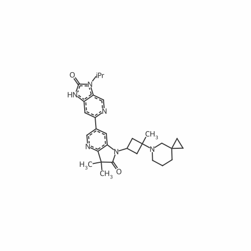 CC(C)n1c(=O)[nH]c2cc(-c3cnc4c(c3)N(C3CC(C)(N5CCCC6(CC6)C5)C3)C(=O)C4(C)C)ncc21